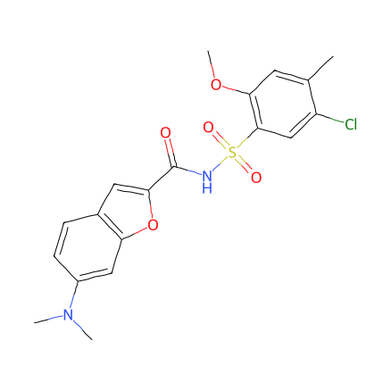 COc1cc(C)c(Cl)cc1S(=O)(=O)NC(=O)c1cc2ccc(N(C)C)cc2o1